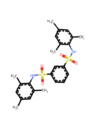 Cc1cc(C)c(NS(=O)(=O)c2cccc(S(=O)(=O)Nc3c(C)cc(C)cc3C)c2)c(C)c1